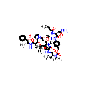 CCCC(=O)N[C@H](CC(N)=O)C(=O)Nc1ccc(COC(=O)N(C)[C@H](C(=O)N[C@H](C(=O)N(C)[C@@H]([C@@H](C)CC)[C@@H](CC(=O)N2CCC[C@H]2[C@H](OC)[C@@H](C)C(=O)N[C@H](C)[C@@H](O)c2ccccc2)OC)C(C)C)C(C)C)cc1